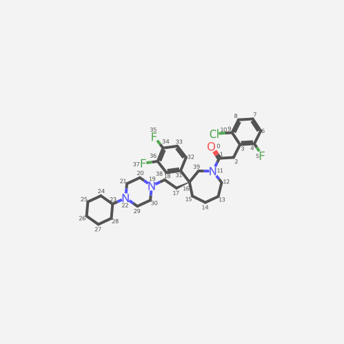 O=C(Cc1c(F)cccc1Cl)N1CCCC[C@](CCN2CCN(C3CCCCC3)CC2)(c2ccc(F)c(F)c2)C1